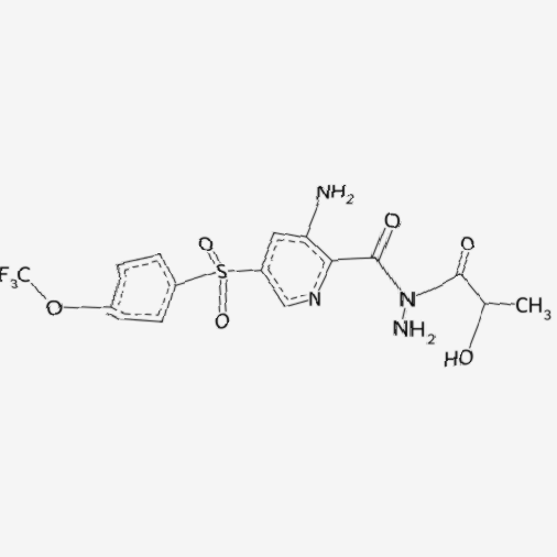 CC(O)C(=O)N(N)C(=O)c1ncc(S(=O)(=O)c2ccc(OC(F)(F)F)cc2)cc1N